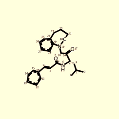 CC(C)C[C@H](NC(=O)C=Cc1ccccc1)C(=O)CN1CCCCc2ccccc21